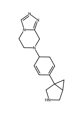 C1=CC(N2CCn3cnnc3C2)CC=C1C12CNCC1C2